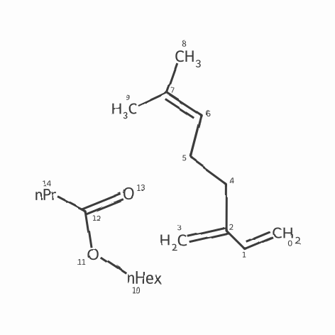 C=CC(=C)CCC=C(C)C.CCCCCCOC(=O)CCC